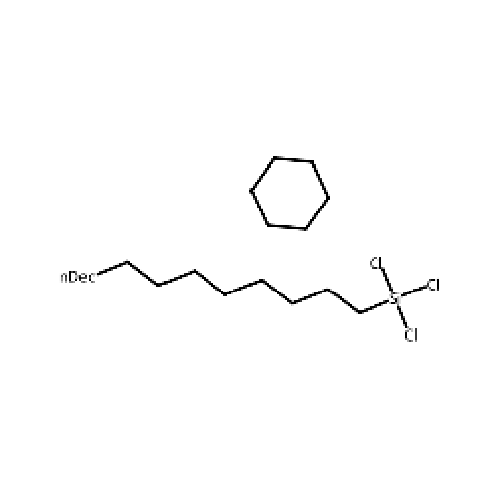 C1CCCCC1.CCCCCCCCCCCCCCCCCC[Si](Cl)(Cl)Cl